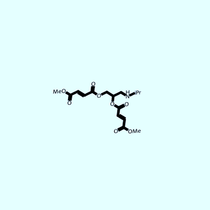 COC(=O)/C=C/C(=O)OCC(CNC(C)C)OC(=O)/C=C/C(=O)OC